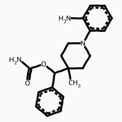 CC1(C(OC(N)=O)c2ccccc2)CCN(c2ccccc2N)CC1